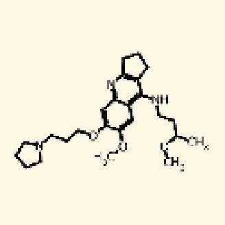 COc1cc2c(NCCC(C)OC)c3c(nc2cc1OCCCN1CCCC1)CCC3